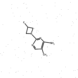 Cc1cnc(N2CC(F)C2)nc1N